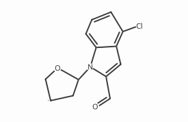 O=Cc1cc2c(Cl)cccc2n1C1C[CH]CO1